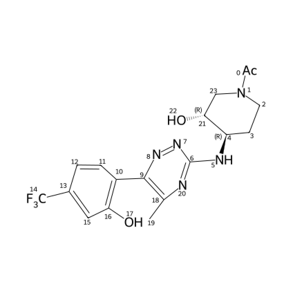 CC(=O)N1CC[C@@H](Nc2nnc(-c3ccc(C(F)(F)F)cc3O)c(C)n2)[C@H](O)C1